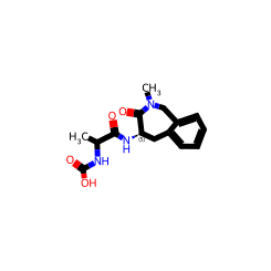 CC(NC(=O)O)C(=O)N[C@H]1Cc2ccccc2CN(C)C1=O